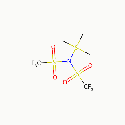 CS(C)(C)N(S(=O)(=O)C(F)(F)F)S(=O)(=O)C(F)(F)F